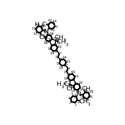 Cc1ccccc1N(c1ccc2c(c1)C(C)(C)c1cc(/C=C/c3ccc(/C=C/c4ccc5c(c4)C(C)(C)c4cc(N(c6ccccc6C)c6ccccc6C)ccc4-5)cc3)ccc1-2)c1ccccc1C